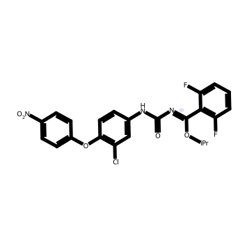 CC(C)O/C(=N\C(=O)Nc1ccc(Oc2ccc([N+](=O)[O-])cc2)c(Cl)c1)c1c(F)cccc1F